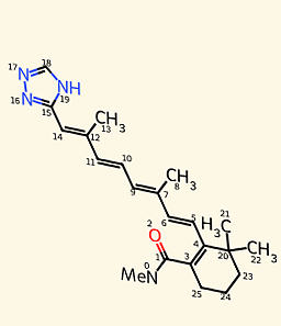 CNC(=O)C1=C(/C=C/C(C)=C/C=C/C(C)=C/c2nnc[nH]2)C(C)(C)CCC1